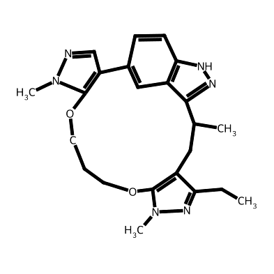 CCc1nn(C)c2c1CC(C)c1n[nH]c3ccc(cc13)-c1cnn(C)c1OCCCO2